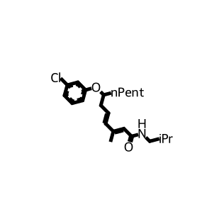 CCCCCC(CC=CC(C)=CC(=O)NCC(C)C)Oc1cccc(Cl)c1